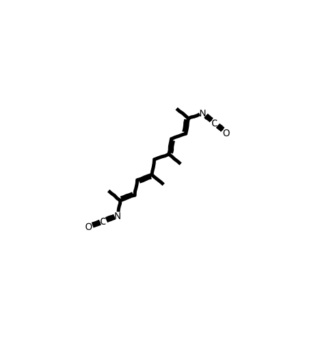 C/C(=C\C=C(/C)N=C=O)C/C(C)=C/C=C(\C)N=C=O